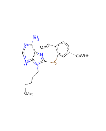 COc1ccc(OC)c(Sc2nc3c(N)ncnc3n2CCCCOC(C)=O)c1